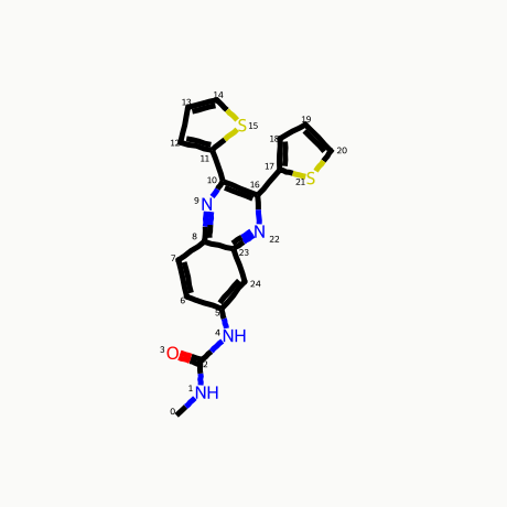 CNC(=O)Nc1ccc2nc(-c3cccs3)c(-c3cccs3)nc2c1